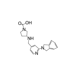 O=C(O)N1CC[C@@H](NCc2ccnc(N3Cc4ccccc4C3)c2)C1